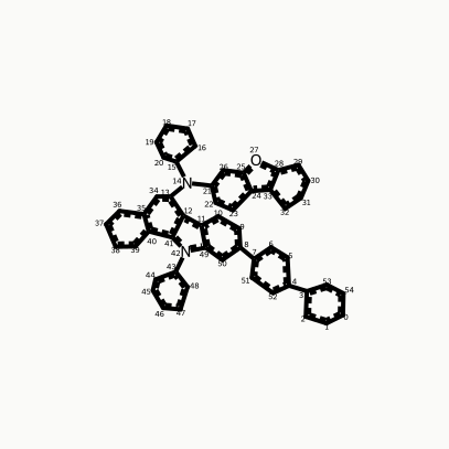 c1ccc(-c2ccc(-c3ccc4c5c(N(c6ccccc6)c6ccc7c(c6)oc6ccccc67)cc6ccccc6c5n(-c5ccccc5)c4c3)cc2)cc1